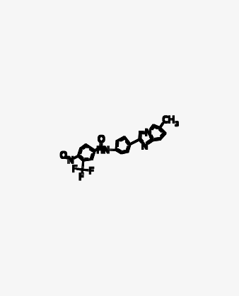 Cc1ccc2nc(-c3ccc(NC(=O)c4ccc(N=O)c(C(F)(F)F)c4)cc3)cn2c1